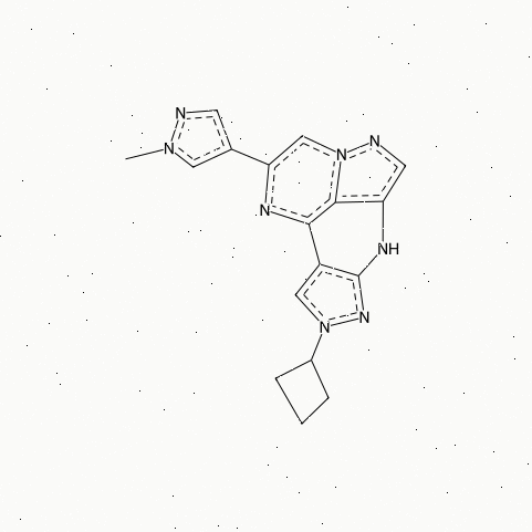 Cn1cc(-c2cn3ncc4c3c(n2)-c2cn(C3CCC3)nc2N4)cn1